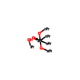 CC(C)O.CCC[O][Zr](=[O])([CH2]CC)([CH2]CC)[O]CCC